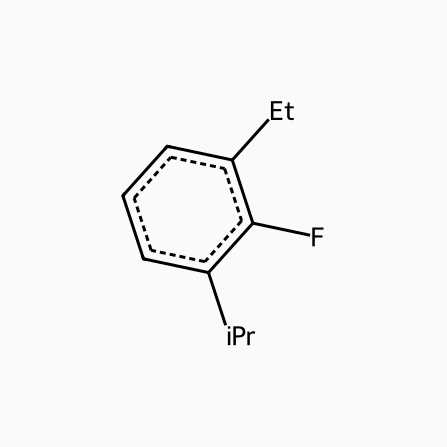 [CH2]C(C)c1cccc(CC)c1F